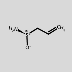 C=CC[S@+](N)[O-]